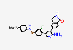 CNc1ccc(NSc2ccc(-c3cnc(N)c(-c4ccc5c(c4)CCNC5=O)c3)c(F)c2)cc1